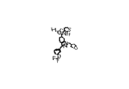 CC1(NC(=O)C2CCc3c(-c4cccc(OC(F)F)c4)nn(CC4CCOCC4)c3C2)CCSC1